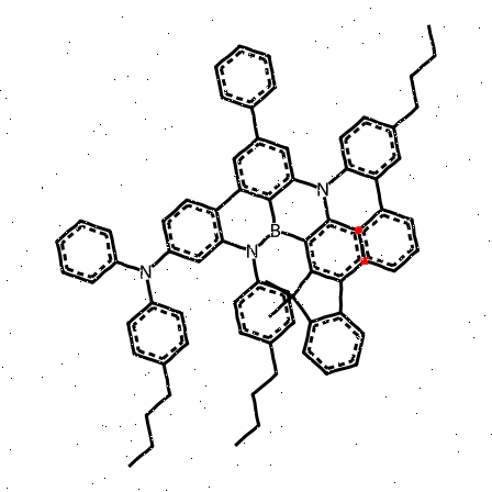 CCCCc1ccc(N2B3c4c(cc(-c5ccccc5)cc4N(c4ccc(CCCC)cc4-c4ccccc4)c4ccc5c(c43)C(C)(C)c3ccccc3-5)-c3ccc(N(c4ccccc4)c4ccc(CCCC)cc4)cc32)cc1